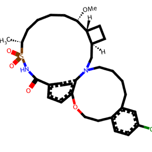 CO[C@H]1CCCC[C@@H](C)S(=O)(=O)NC(=O)c2ccc3c(c2)N(CCCCc2cc(Cl)ccc2CCO3)C[C@@H]2CC[C@H]21